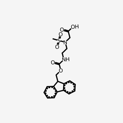 CS(=O)(=O)N(CCNC(=O)OCC1c2ccccc2-c2ccccc21)CC(=O)O